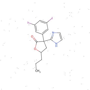 CCCC1CC(c2cc(I)cc(I)c2)(c2ncc[nH]2)C(=O)O1